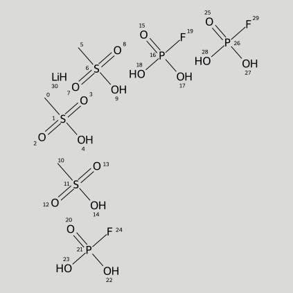 CS(=O)(=O)O.CS(=O)(=O)O.CS(=O)(=O)O.O=P(O)(O)F.O=P(O)(O)F.O=P(O)(O)F.[LiH]